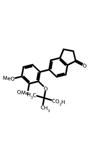 COc1ccc(-c2ccc3c(c2)CCC3=O)c(OC(C)(C)C(=O)O)c1OC